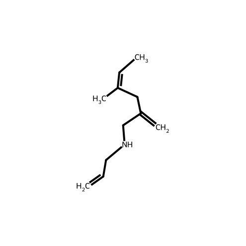 C=CCNCC(=C)C/C(C)=C\C